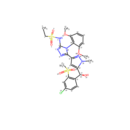 CCS(=O)(=O)Nc1nnc(-c2cc([C@@H](O)c3ccc(Cl)cc3S(C)(=O)=O)n(C)n2)n1-c1c(OC)cccc1OC